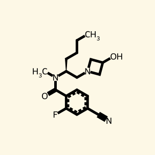 CCCC[C@@H](CN1CC(O)C1)N(C)C(=O)c1ccc(C#N)cc1F